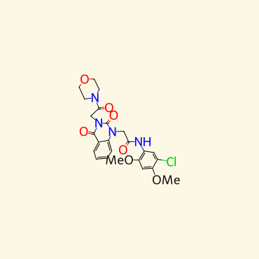 COc1cc(OC)c(NC(=O)Cn2c(=O)n(CC(=O)N3CCOCC3)c(=O)c3ccccc32)cc1Cl